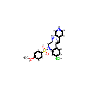 COc1ccc(S(=O)(=O)N(CCN)c2ccccc2C=Cc2ccncc2)cc1.Cl